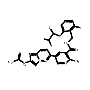 CC(=O)Nc1cn2nc(-c3cnc(C)c(C(=O)NCc4c(F)cccc4OC(F)C(F)F)c3)ccc2n1